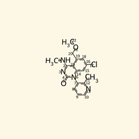 CNc1nc(=O)n(-c2cccnc2C)c2cc(Cl)cc(COC)c12